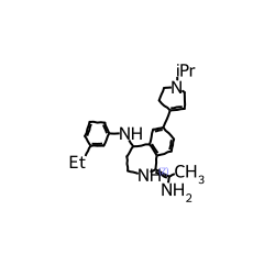 CCc1cccc(NC2CCN/C(=C(/C)N)c3ccc(C4=CCN(C(C)C)CC4)cc32)c1